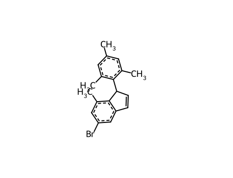 Cc1cc(C)c(C2C=Cc3cc(Br)cc(C)c32)c(C)c1